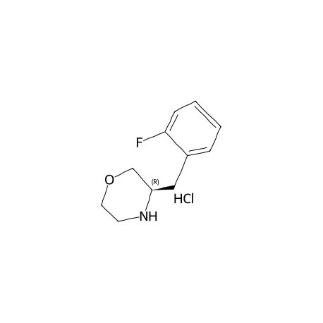 Cl.Fc1ccccc1C[C@@H]1COCCN1